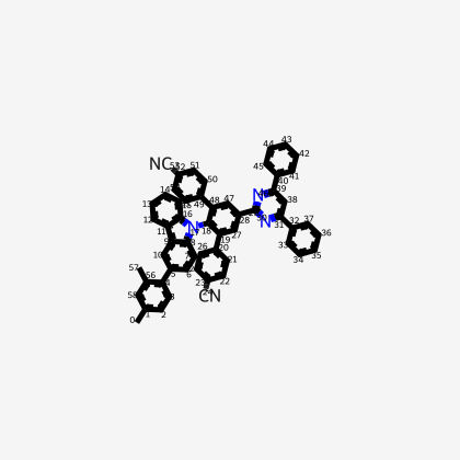 Cc1ccc(-c2ccc3c(c2)c2ccccc2n3-c2c(-c3ccc(C#N)cc3)cc(-c3nc(-c4ccccc4)cc(-c4ccccc4)n3)cc2-c2ccc(C#N)cc2)c(C)c1